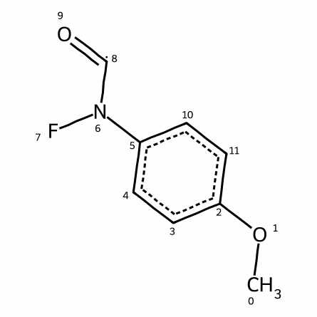 COc1ccc(N(F)[C]=O)cc1